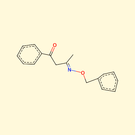 C/C(CC(=O)c1ccccc1)=N\OCc1ccccc1